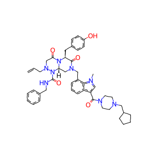 C=CCN1CC(=O)N2[C@@H](Cc3ccc(O)cc3)C(=O)N(Cc3cccc4c(C(=O)N5CCN(CC6CCCC6)CC5)cn(C)c34)C[C@@H]2N1C(=O)NCc1ccccc1